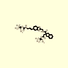 CC(C)(C)OC(=O)CC1(C(=O)NCc2nc3ccc(/C=C/CNC(=O)OC(C)(C)C)cc3s2)Cc2ccccc2C1